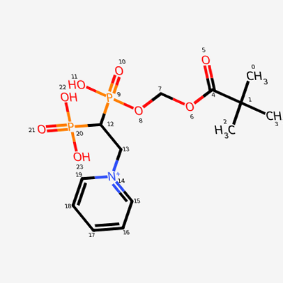 CC(C)(C)C(=O)OCOP(=O)(O)C(C[n+]1ccccc1)P(=O)(O)O